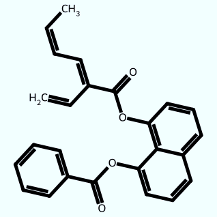 C=C/C(=C\C=C/C)C(=O)Oc1cccc2cccc(OC(=O)c3ccccc3)c12